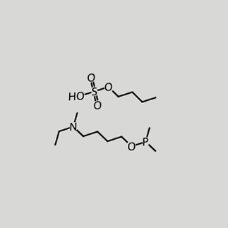 CCCCOS(=O)(=O)O.CCN(C)CCCCOP(C)C